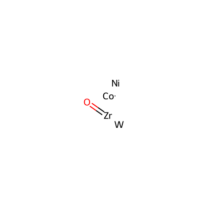 [Co].[Ni].[O]=[Zr].[W]